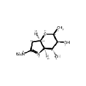 CNC1=N[C@@H]2[C@@H](O)[C@H](O)C(C)O[C@@H]2C1